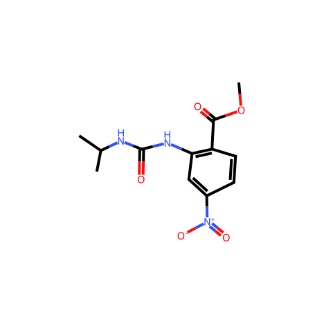 COC(=O)c1ccc([N+](=O)[O-])cc1NC(=O)NC(C)C